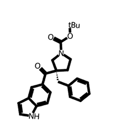 CC(C)(C)OC(=O)N1CC[C@@](Cc2ccccc2)(C(=O)c2ccc3[nH]ccc3c2)C1